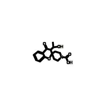 CC(O)C1C(=O)c2ccccc2OC12CCN(C(=O)O)CC2